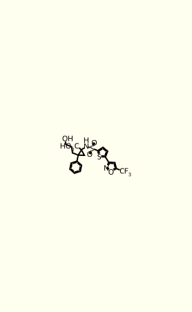 O=C(O)C1(NS(=O)(=O)c2ccc(-c3cc(C(F)(F)F)on3)s2)CC1(CCCO)c1ccccc1